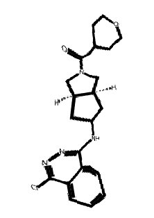 O=C(C1CCOCC1)N1C[C@H]2CC(Nc3nnc(Cl)c4ccccc34)C[C@H]2C1